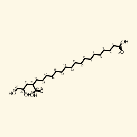 O=C(O)CCCCCCCCCCCCCCCCCC(CC(O)CO)C(=O)O